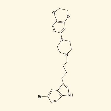 Brc1ccc2[nH]cc(CCCCN3CCN(c4ccc5c(c4)OCCO5)CC3)c2c1